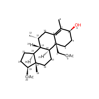 CC(=O)OC[C@]12CC[C@H](O)C(C)=C1C[C@@H](C)[C@@H]1[C@@H]2CC[C@]2(C)[C@@H](OC(C)=O)CC[C@@H]12